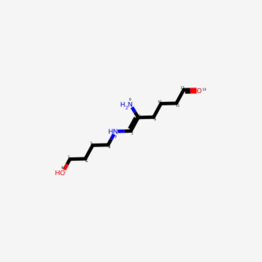 N/C(=C\NCCCCO)CCCC=O